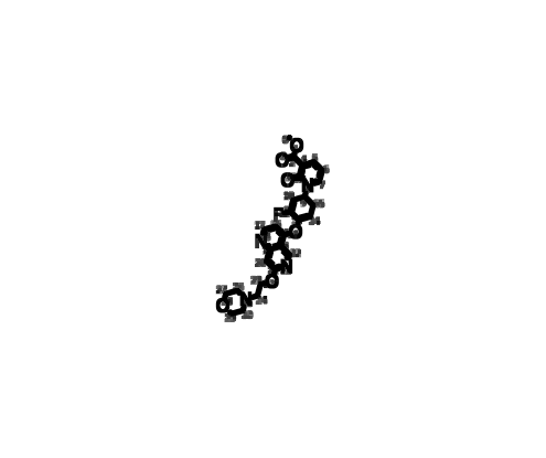 COC(=O)c1cccn(C2C=C(F)C(Oc3ccnc4cc(OCCN5CCOCC5)ncc34)=CC2)c1=O